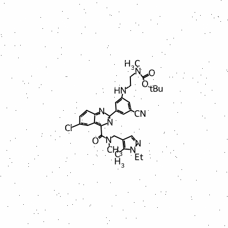 CCn1ncc(CN(C)C(=O)c2nc(-c3cc(C#N)cc(NCCN(C)C(=O)OC(C)(C)C)c3)nc3ccc(Cl)cc23)c1C